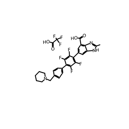 Cc1nc2c(C(=O)O)cc(-c3c(F)c(F)c(-c4ccc(CN5CCCCC5)cc4)c(F)c3F)cc2[nH]1.O=C(O)C(F)(F)F